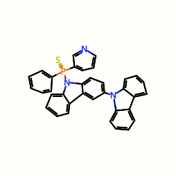 S=P(c1ccccc1)(c1cccnc1)n1c2ccccc2c2cc(-n3c4ccccc4c4ccccc43)ccc21